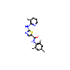 Cc1cc(C)c(NC(=O)c2cnc(Nc3ncccc3C)s2)c(C)c1